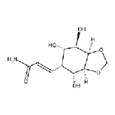 NC(=O)/C=C/[C@@H]1[C@H](O)[C@@H](O)[C@H]2OCO[C@H]2[C@@H]1O